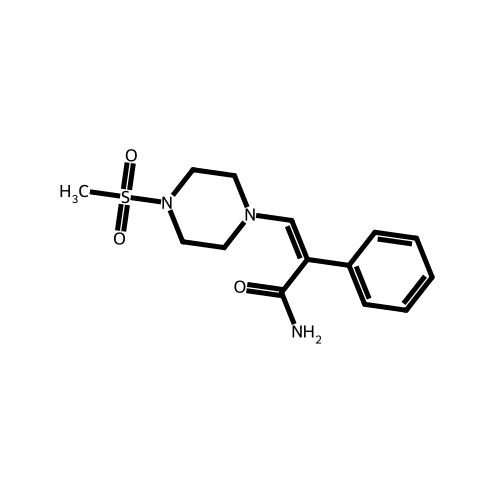 CS(=O)(=O)N1CCN(C=C(C(N)=O)c2ccccc2)CC1